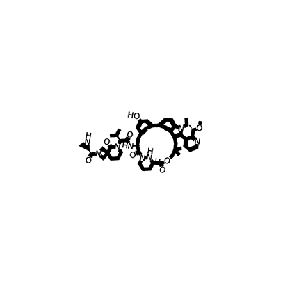 CCn1c(-c2cccnc2[C@H](C)OC)c2c3cc(ccc31)-c1cc(O)cc(c1)C[C@H](NC(=O)[C@H](C(C)C)N1CCCC3(CN(C(=O)[C@@H]4CN4)C3)C1=O)C(=O)N1CCC[C@H](N1)C(=O)OCC(C)(C)C2